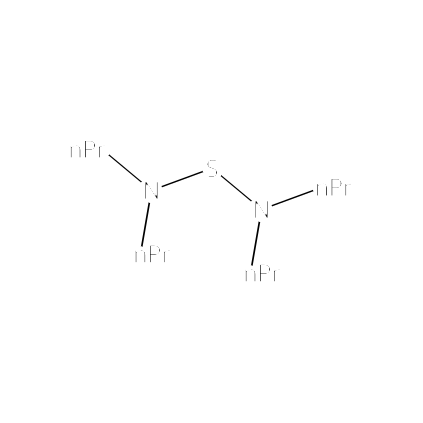 CCCN(CCC)SN(CCC)CCC